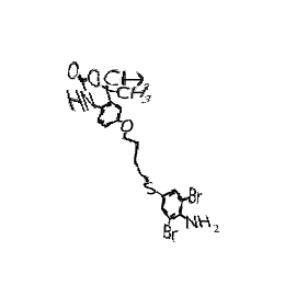 CC1(C)OC(=O)Nc2ccc(OCCCCSc3cc(Br)c(N)c(Br)c3)cc21